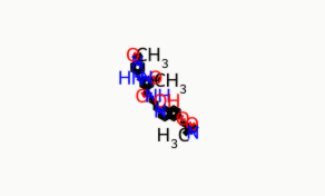 COc1cc(C(=O)NC[C@H](O)CN2CCc3cc(OCc4ocnc4C)ccc3C2)cc(NC2CCN(C(C)=O)CC2)n1